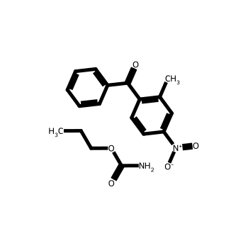 CCCOC(N)=O.Cc1cc([N+](=O)[O-])ccc1C(=O)c1ccccc1